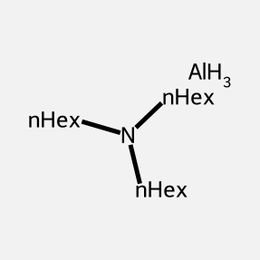 CCCCCCN(CCCCCC)CCCCCC.[AlH3]